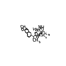 COc1ccc2cc(C(C)c3cc(NC(=N)N(C)C)no3)ccc2c1